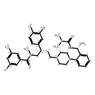 C[C@@H](NC(=O)N(C)C)c1ccccc1N1CCN(CC[C@H](CN(C)C(=O)c2cc(F)cc(C(F)(F)F)c2)c2ccc(Cl)c(Cl)c2)CC1